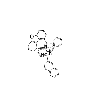 C1=Cc2oc3cccc(-c4cccc5ccccc45)c3c2C(c2nc(-c3ccccc3)nc(-c3ccc4ccccc4c3)n2)C1